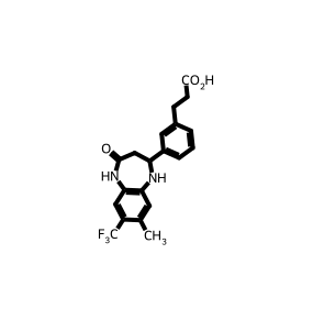 Cc1cc2c(cc1C(F)(F)F)NC(=O)CC(c1cccc(CCC(=O)O)c1)N2